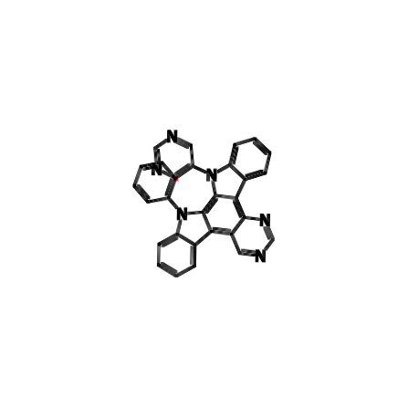 c1ccc(-n2c3ccccc3c3c4cncnc4c4c5ccccc5n(-c5cncnc5)c4c32)cc1